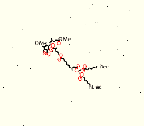 CCCCCCCCCCCCCCCC(=O)OCC(COC(=O)CCCCCCCCCCCCCCC)OC(=O)CC(C)CCCCCCC(=O)OCCCC(C)C(=O)Oc1c(CC=C(C)CCC(=O)OC)c(OC)c(C)c2c1C(=O)OC2